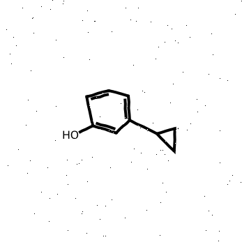 Oc1cccc(C2[CH]C2)c1